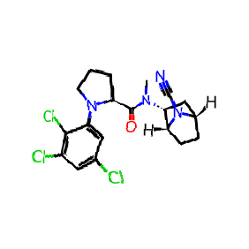 CN(C(=O)[C@@H]1CCCN1c1cc(Cl)cc(Cl)c1Cl)[C@@H]1C[C@@H]2CC[C@H]1N2C#N